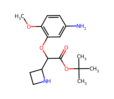 COc1ccc(N)cc1OC(C(=O)OC(C)(C)C)C1CCN1